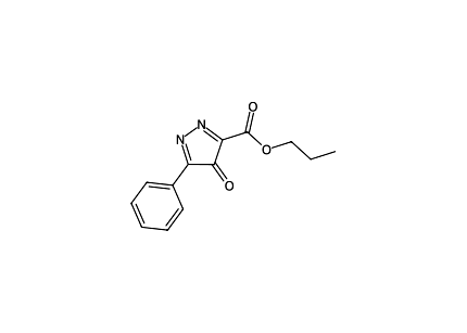 CCCOC(=O)C1=NN=C(c2ccccc2)C1=O